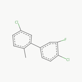 Cc1ccc(Cl)cc1-c1ccc(Cl)c(F)c1